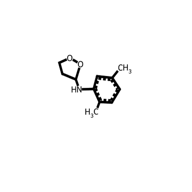 Cc1ccc(C)c(NC2CCOO2)c1